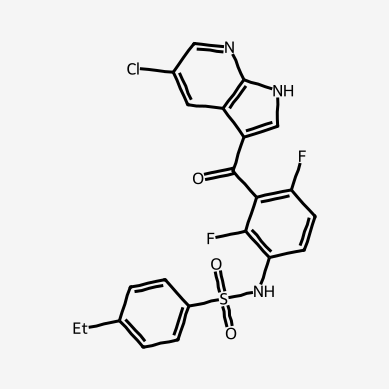 CCc1ccc(S(=O)(=O)Nc2ccc(F)c(C(=O)c3c[nH]c4ncc(Cl)cc34)c2F)cc1